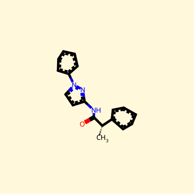 C[C@H](C(=O)Nc1ccn(-c2ccccc2)n1)c1ccccc1